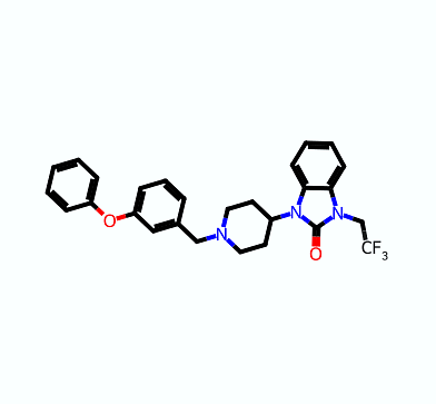 O=c1n(CC(F)(F)F)c2ccccc2n1C1CCN(Cc2cccc(Oc3ccccc3)c2)CC1